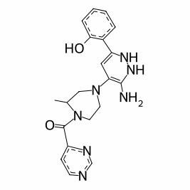 CC1CN(C2=C(N)NNC(c3ccccc3O)=C2)CCN1C(=O)c1ccncn1